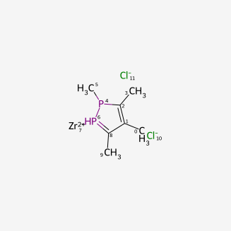 CC1=C(C)P(C)[PH]([Zr+2])=C1C.[Cl-].[Cl-]